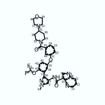 Cn1cc(NC(=O)c2cnn3cccnc23)c(-c2cc(Oc3cccc(C(=O)N4CCC(N5CCOCC5)CC4)c3)ccc2OC(F)F)n1